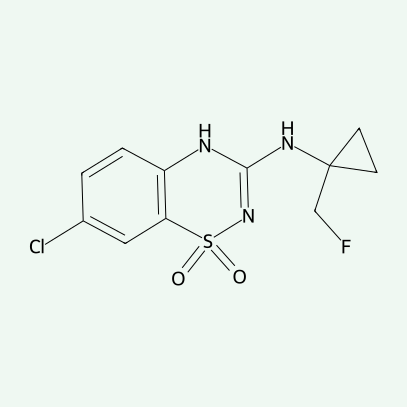 O=S1(=O)N=C(NC2(CF)CC2)Nc2ccc(Cl)cc21